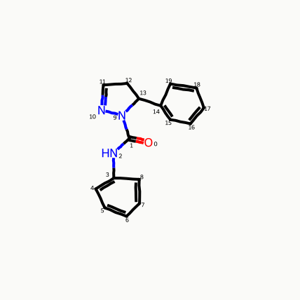 O=C(Nc1ccccc1)N1N=CCC1c1ccccc1